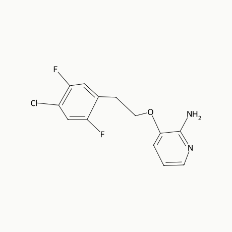 Nc1ncccc1OCCc1cc(F)c(Cl)cc1F